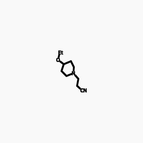 [CH2]COC1CCN(CCC#N)CC1